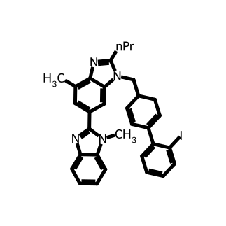 CCCc1nc2c(C)cc(-c3nc4ccccc4n3C)cc2n1CC1C=CC(c2ccccc2I)=CC1